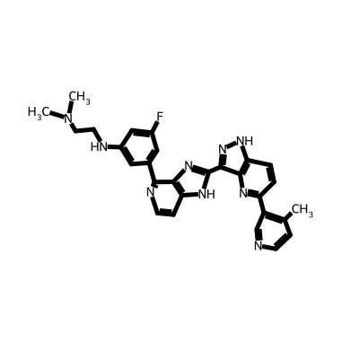 Cc1ccncc1-c1ccc2[nH]nc(-c3nc4c(-c5cc(F)cc(NCCN(C)C)c5)nccc4[nH]3)c2n1